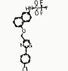 O=S(=O)(Nc1ccc2c(OCc3csc(-c4ccc(Cl)cc4)n3)cccc2c1)C(F)(F)F